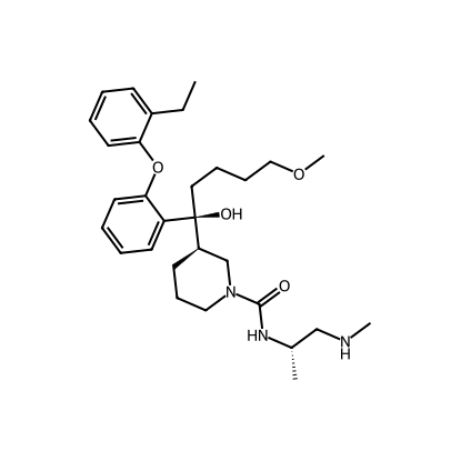 CCc1ccccc1Oc1ccccc1[C@](O)(CCCCOC)[C@@H]1CCCN(C(=O)N[C@@H](C)CNC)C1